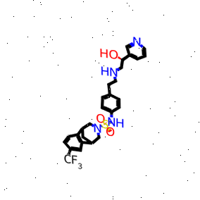 O=S(=O)(Nc1ccc(CCNC[C@@H](O)c2cccnc2)cc1)N1CC2CC(C1)c1cc(C(F)(F)F)ccc12